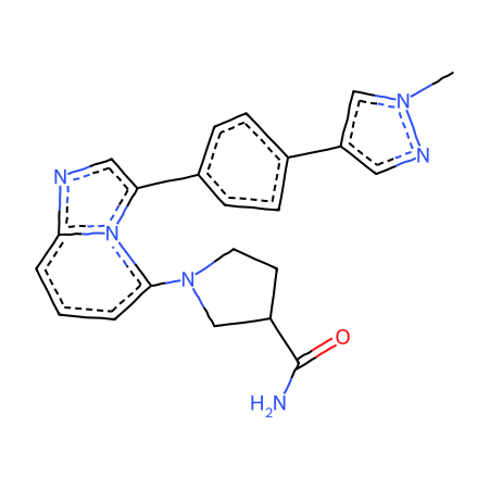 Cn1cc(-c2ccc(-c3cnc4cccc(N5CCC(C(N)=O)C5)n34)cc2)cn1